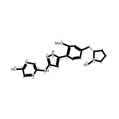 COc1cc(C[C@@H]2CCCN2C(C)C)ccc1-c1cc(Nc2cnc(C#N)cn2)n[nH]1